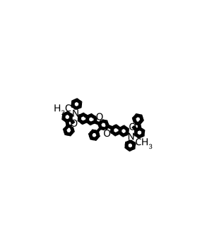 Cc1ccccc1N(c1ccc2cc3c(cc2c1)oc1c(-c2ccccc2)c2c(cc13)oc1cc3cc(N(c4ccccc4C)c4cccc5c4oc4ccccc45)ccc3cc12)c1cccc2c1oc1ccccc12